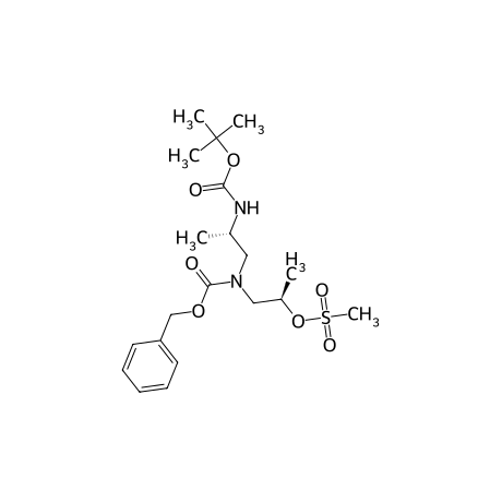 C[C@H](CN(C[C@H](C)NC(=O)OC(C)(C)C)C(=O)OCc1ccccc1)OS(C)(=O)=O